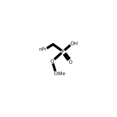 CCCCP(=O)(O)OOC